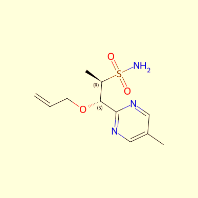 C=CCO[C@@H](c1ncc(C)cn1)[C@@H](C)S(N)(=O)=O